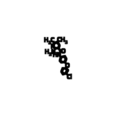 Cc1cc(C(=O)Nc2ccc(Oc3cccc(Cl)c3)cc2)c(N)nc1C